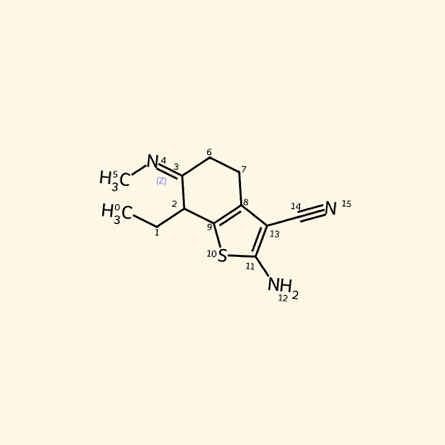 CCC1/C(=N\C)CCc2c1sc(N)c2C#N